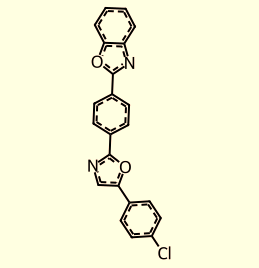 Clc1ccc(-c2cnc(-c3ccc(-c4nc5ccccc5o4)cc3)o2)cc1